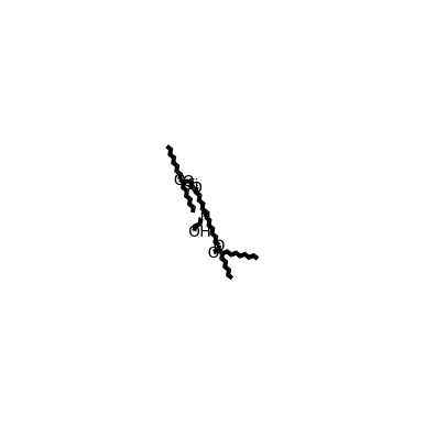 CCCCCCCCOC(CCCCCCC)O[Si](C)(C)OCCCCCCN(CCCO)CCCCCCOC(=O)C(CCCCCC)CCCCCCCC